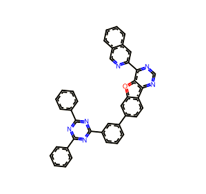 c1ccc(-c2nc(-c3ccccc3)nc(-c3cccc(-c4ccc5c(c4)oc4c(-c6cc7ccccc7cn6)ncnc45)c3)n2)cc1